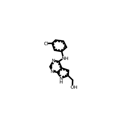 OCc1cc2c(Nc3cccc(Cl)c3)ncnc2[nH]1